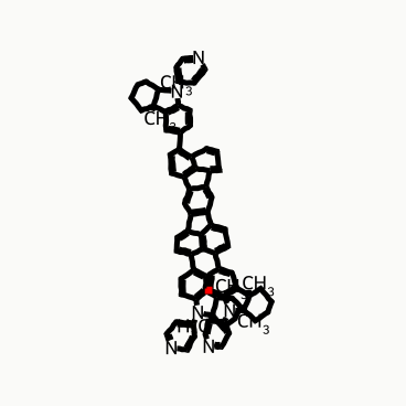 CC12CCCCC1(C)N(c1ccncc1)c1ccc(-c3ccc4c5cc6c(cc5c5cccc3c54)c3ccc(-c4ccc5c(c4)C4(C)CCCCC4(C)N5c4ccncc4)c4c(-c5ccc7c(c5)C5(C)CCCCC5(C)N7c5ccncc5)ccc6c43)cc12